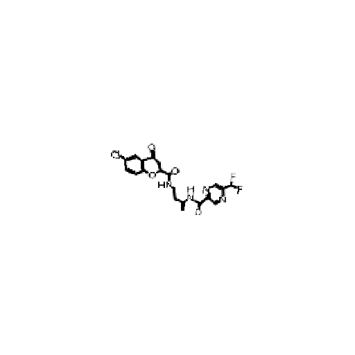 C=C(CCNC(=O)C1CC(=O)c2cc(Cl)ccc2O1)NC(=O)c1cnc(C(F)F)cn1